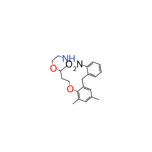 Cc1cc(C)c(OCCC2CNCCO2)c(Cc2ccccc2[N+](=O)[O-])c1